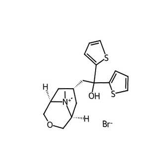 C[N+]1(C)[C@@H]2COC[C@H]1C[C@H](CC(O)(c1cccs1)c1cccs1)C2.[Br-]